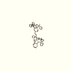 COC(=O)C1C(NC(=O)C=Cc2ccc(OC(C)=O)c([N+](=O)[O-])c2)SC2=CC=CCC21